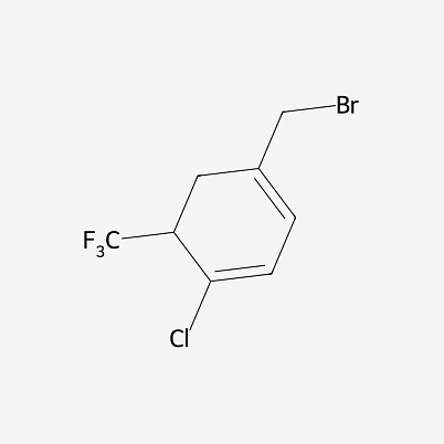 FC(F)(F)C1CC(CBr)=CC=C1Cl